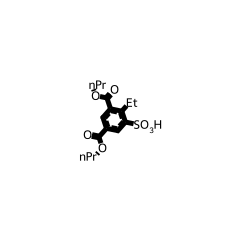 CCCOC(=O)c1cc(C(=O)OCCC)c(CC)c(S(=O)(=O)O)c1